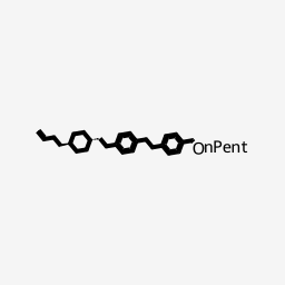 C=CCC[C@H]1CC[C@H](CCc2ccc(CCc3ccc(COCCCCC)cc3)cc2)CC1